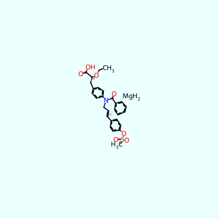 CCO[C@@H](Cc1ccc(N(C/C=C/c2ccc(OS(C)(=O)=O)cc2)C(=O)c2ccccc2)cc1)C(=O)O.[MgH2]